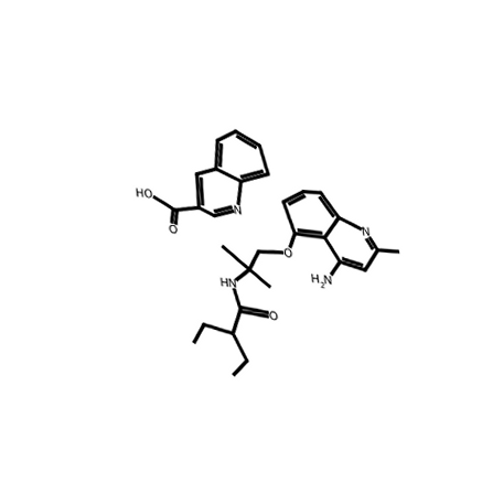 CCC(CC)C(=O)NC(C)(C)COc1cccc2nc(C)cc(N)c12.O=C(O)c1cnc2ccccc2c1